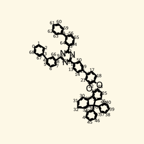 c1ccc(-c2cccc(-c3nc(-c4ccc(-c5ccc6c(c5)Oc5c(ccc7c5-c5ccccc5C7(c5ccccc5)c5ccccc5)O6)cc4)nc(-c4cccc(-c5ccccc5)c4)n3)c2)cc1